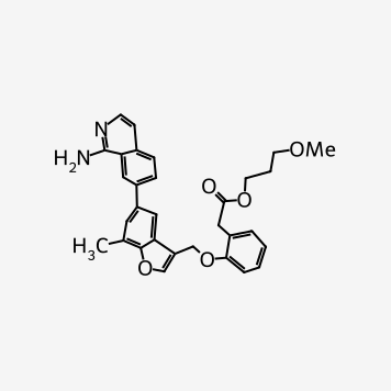 COCCCOC(=O)Cc1ccccc1OCc1coc2c(C)cc(-c3ccc4ccnc(N)c4c3)cc12